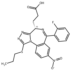 CCCSc1nnc2n1-c1ccc([N+](=O)[O-])cc1C(c1ccccc1F)=N[C@H]2CCC(=O)O